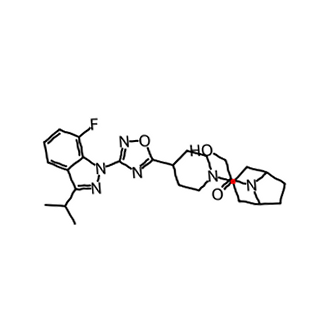 CC(C)c1nn(-c2noc(C3CCN(C4CC5CCC(C4)N5C(=O)CO)CC3)n2)c2c(F)cccc12